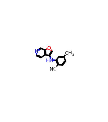 Cc1ccc(C#N)c(Nc2coc3cnccc23)c1